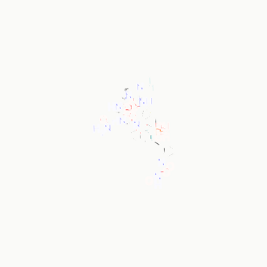 CC(C)(C)c1ccc(C[C@H](NC(=O)[C@H](CCC(N)=O)NC(=O)[C@@H]2CC[C@@H]3CCN(CC(F)(F)F)C[C@H](NC(=O)c4cc5cc(C(F)(F)P(=O)(O)O)ccc5s4)C(=O)N32)C(=O)N2CCC(CCC#Cc3cccc4c3CN(C3CCC(=O)NC3=O)C4=O)CC2)cc1